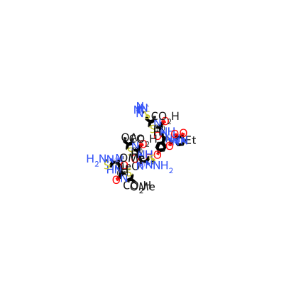 CCN1CCN(C(=O)N[C@@H](C(=O)N[C@@H]2C(=O)N3C(C(=O)O)=C(CSc4nnnn4C)CS[C@H]23)c2ccc(O)cc2)C(=O)C1=O.CO/N=C(\C(=O)N[C@@H]1C(=O)N2C(C(=O)O)=C(COC(C)=O)CS[C@H]12)c1csc(N)n1.COCC1=C(C(=O)O)N2C(=O)[C@@H](NC(=O)/C(=N\OC)c3csc(N)n3)[C@H]2SC1